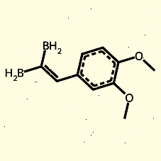 BC(B)=Cc1ccc(OC)c(OC)c1